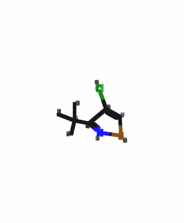 CC(C)(C)c1nscc1Cl